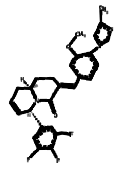 COc1cc(C=C2CC[C@@H]3CC=C[C@@H](c4cc(F)c(F)c(F)c4)N3C2=O)ccc1-n1cnc(C)c1